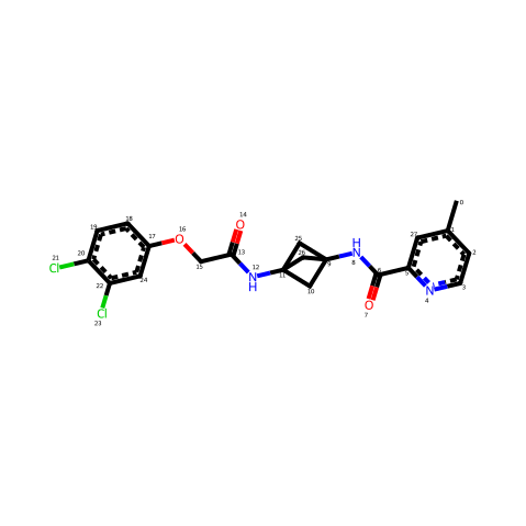 Cc1ccnc(C(=O)NC23CC(NC(=O)COc4ccc(Cl)c(Cl)c4)(C2)C3)c1